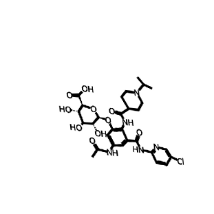 CC(=O)Nc1cc(O[C@@H]2O[C@H](C(=O)O)[C@@H](O)[C@H](O)[C@H]2O)c(NC(=O)C2CCN(C(C)C)CC2)c(C(=O)Nc2ccc(Cl)cn2)c1